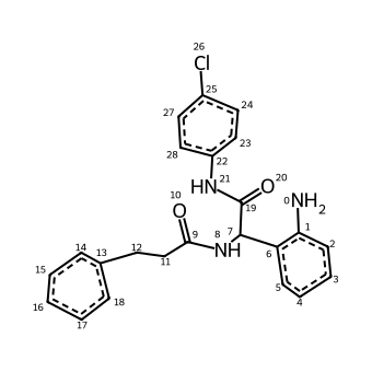 Nc1ccccc1C(NC(=O)CCc1ccccc1)C(=O)Nc1ccc(Cl)cc1